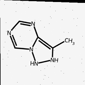 CC1=C2N=CN=CN2NN1